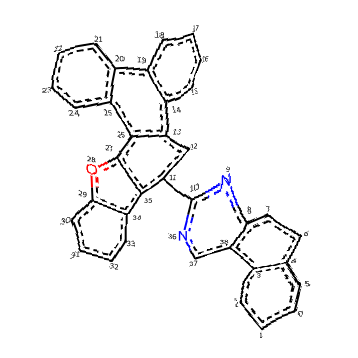 c1ccc2c(c1)ccc1nc(-c3cc4c5ccccc5c5ccccc5c4c4oc5ccccc5c34)ncc12